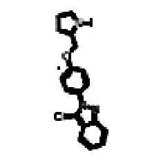 Clc1c2ccccc2nn1-c1ccc(OCC2CCCN2I)cc1